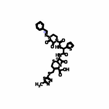 Cc1nnc(SCC2=C(C(=O)O)N3C(=O)[C@H](NC(=O)C(NC(=O)N4CCN(/N=C/c5ccccc5)C(=O)C4=O)c4cccs4)C3SC2)s1